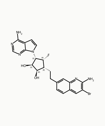 Nc1nc2cc(CC[C@@H]3[C@@H](O)[C@@H](O)[C@H](n4ccc5c(N)ncnc54)[C@@H]3F)ccc2cc1Br